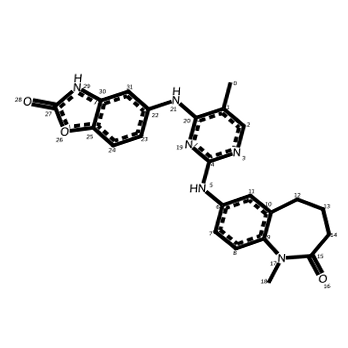 Cc1cnc(Nc2ccc3c(c2)CCCC(=O)N3C)nc1Nc1ccc2oc(=O)[nH]c2c1